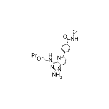 CC(C)OCCNc1nc(N)nc2ccc(-c3ccc(C(=O)NC4CC4)cc3)nc12